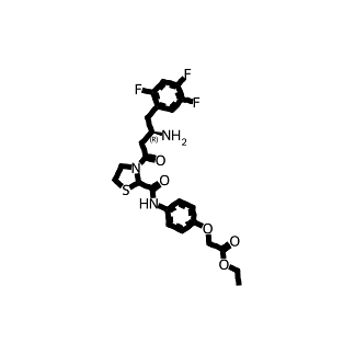 CCOC(=O)COc1ccc(NC(=O)C2SCCN2C(=O)C[C@H](N)Cc2cc(F)c(F)cc2F)cc1